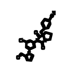 N#Cc1ccc(CC23CCCN2C(=O)N(c2cc(Cl)cc(-n4cccc4C=O)c2)C3=O)cc1